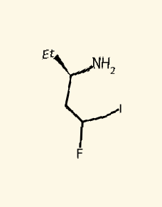 CC[C@@H](N)CC(F)I